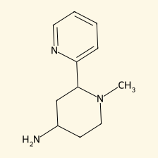 CN1CCC(N)CC1c1ccccn1